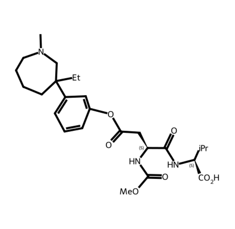 CCC1(c2cccc(OC(=O)C[C@H](NC(=O)OC)C(=O)N[C@H](C(=O)O)C(C)C)c2)CCCCN(C)C1